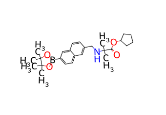 CC(C)(NCc1ccc2cc(B3OC(C)(C)C(C)(C)O3)ccc2c1)C(=O)OC1CCCC1